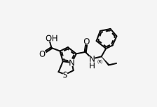 CC[C@@H](NC(=O)c1cc(C(=O)O)c2n1CSC2)c1ccccc1